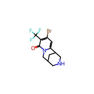 O=c1c(C(F)(F)F)c(Br)cc2n1CC1CNCC2C1